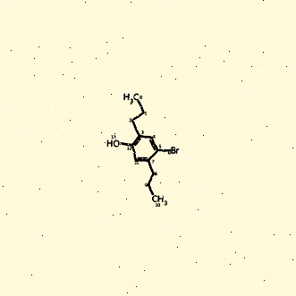 CCCc1cc(Br)c(CCC)cc1O